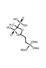 CO[Si](CCCOC(C)(P(=O)(O)O)P(=O)(O)O)(OC)OC